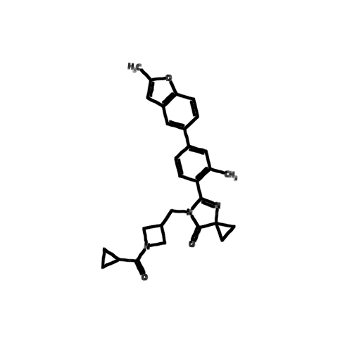 Cc1cc2cc(-c3ccc(C4=NC5(CC5)C(=O)N4CC4CN(C(=O)C5CC5)C4)c(C)c3)ccc2o1